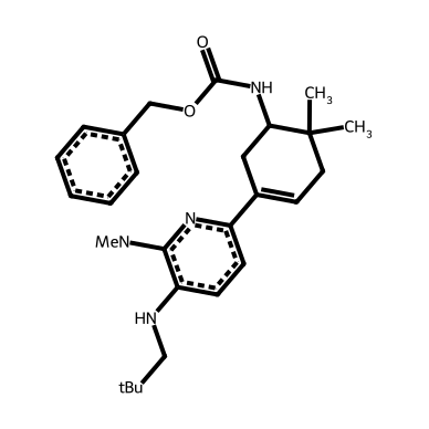 CNc1nc(C2=CCC(C)(C)C(NC(=O)OCc3ccccc3)C2)ccc1NCC(C)(C)C